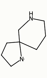 C1C[N]C2(C1)CCCNC2